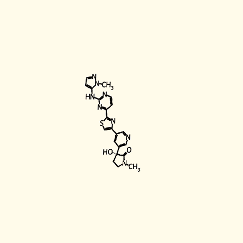 CN1CC[C@@](O)(c2cncc(-c3csc(-c4ccnc(Nc5ccnn5C)n4)n3)c2)C1=O